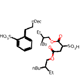 CCCCC(CC)COC(=O)CC(C(=O)OCC(CC)CCCC)S(=O)(=O)O.CCCCCCCCCCCCc1ccccc1S(=O)(=O)O